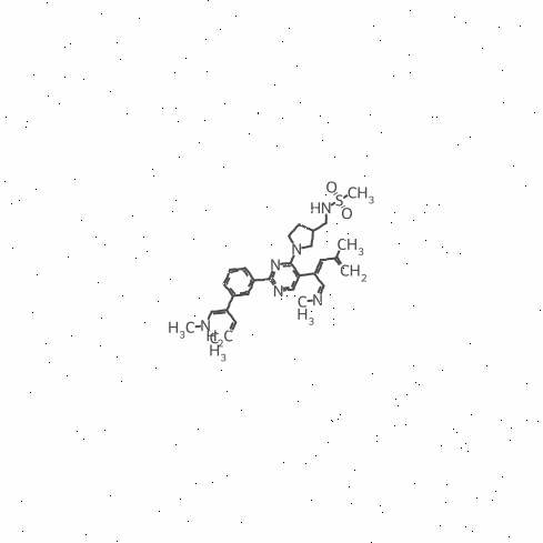 C=C/C(=C\N(C)C)c1cccc(-c2ncc(C(/C=N\C)=C/C(=C)C)c(N3CCC(CNS(C)(=O)=O)C3)n2)c1